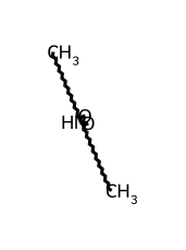 CCCCCCCCCCCCCCCCCCC(=O)NC(=O)CCCCCCCCCCCCCCCCCC